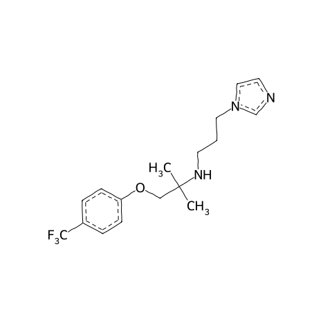 CC(C)(COc1ccc(C(F)(F)F)cc1)NCCCn1ccnc1